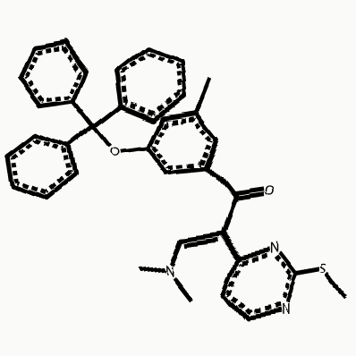 CSc1nccc(/C(=C\N(C)C)C(=O)c2cc(C)cc(OC(c3ccccc3)(c3ccccc3)c3ccccc3)c2)n1